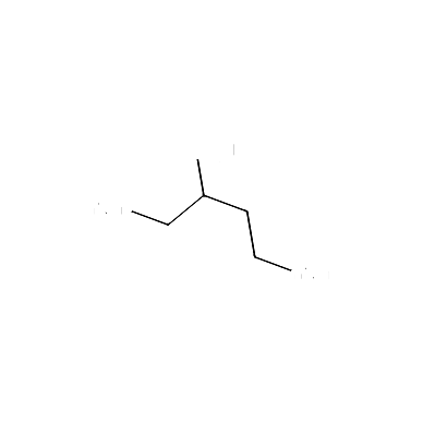 CCCCCCCCCCCC(CCCCCCCCCC)C(=O)O